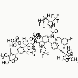 Cc1cc(C(=O)N[C@@H](C)C(=O)O)cc(OP(=O)(O)O)c1C(C)(C)CC(=O)N(c1nn(CC(F)(F)F)c2c(-c3ccc(C#CC(C)(C)S(C)(=O)=O)nc3[C@H](Cc3cc(F)cc(F)c3)NC(=O)Cn3nc(C(F)(F)F)c4c3C(F)(F)[C@@H]3C[C@H]43)ccc(Cl)c12)S(C)(=O)=O